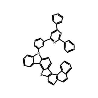 c1ccc(-c2cc(-c3cccc(-n4c5ccccc5c5c6sc7ccc8ccc9ccccc9c8c7c6ccc54)c3)nc(-c3ccccc3)n2)cc1